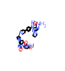 Cn1c(=O)n(C2CCC(=O)NC2=O)c2ccc(N3CC[C@@H](CN4CCC(c5ccc(Nc6nc(N7CCCCC7)cnc6C(N)=O)cc5)CC4)C3)cc21